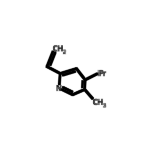 C=Cc1cc(C(C)C)c(C)cn1